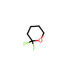 FC1(F)CCCCO1